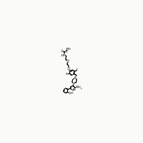 CC(C)(C)OC(=O)NCCOCCOc1cc(F)c(CN2CCN(c3cc(-c4ccccc4O)nnc3N)CC2)cc1F